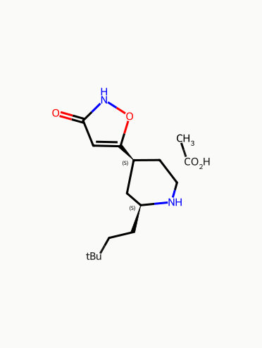 CC(=O)O.CC(C)(C)CC[C@H]1C[C@@H](c2cc(=O)[nH]o2)CCN1